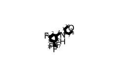 Fc1cc(CNC2CCOCC2)cc(C(F)(F)F)c1